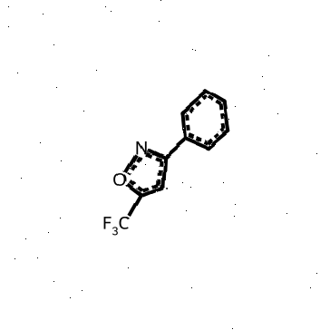 FC(F)(F)c1[c]c(-c2ccccc2)no1